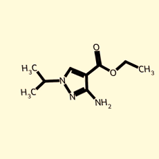 CCOC(=O)c1cn(C(C)C)nc1N